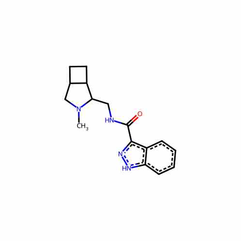 CN1CC2CCC2C1CNC(=O)c1n[nH]c2ccccc12